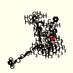 CC[C@H](C)[C@@H]([C@@H](CC(=O)N1CCC[C@H]1[C@H](OC)[C@@H](C)C(=O)N[C@H](C)[C@@H](O)c1ccccc1)OC)N(C)C(=O)[C@@H](NC(=O)[C@H](C(C)C)N(C)C(=O)[C@H](C)NC(=O)[C@@H](NC(=O)[C@@H](CCCCNC(=O)COC1CCCCC/C(N[C@@H]2O[C@H](CO)[C@H](O)[C@H](O)[C@H]2O)=C\1N=N)NC(=O)CCOCCOCCOCCOCCN1C(=O)C=CC1=O)C(C)C)C(C)C